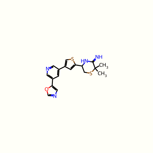 CC1(C)SCC(c2cc(-c3cncc(-c4cnco4)c3)cs2)NC1=N